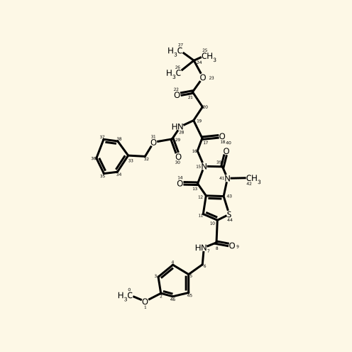 COc1ccc(CNC(=O)c2cc3c(=O)n(CC(=O)C(CC(=O)OC(C)(C)C)NC(=O)OCc4ccccc4)c(=O)n(C)c3s2)cc1